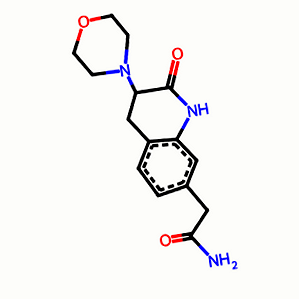 NC(=O)Cc1ccc2c(c1)NC(=O)C(N1CCOCC1)C2